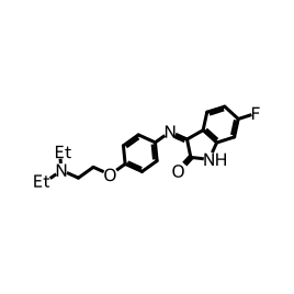 CCN(CC)CCOc1ccc(/N=C2\C(=O)Nc3cc(F)ccc32)cc1